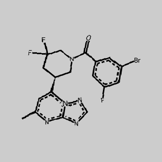 Cc1cc([C@@H]2CN(C(=O)c3cc(F)cc(Br)c3)CC(F)(F)C2)n2ncnc2n1